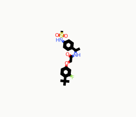 CC(NC(=O)COc1ccc(C(C)(C)C)c(F)c1)c1ccc(NS(C)(=O)=O)cc1